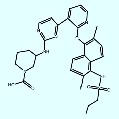 CCCS(=O)(=O)Nc1c(F)ccc2c(Oc3ncccc3-c3ccnc(NC4CCCN(C(=O)O)C4)n3)c(C)ccc12